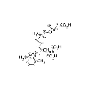 CC(C=CC1=C(C)CCCC1(C)C)=CC=CC(C)=CCOC(=O)CCC(=O)O.O=C(O)CCC(=O)O